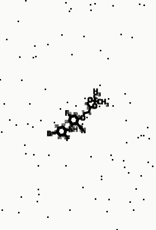 CC1(C)OCC(CCOc2cc(F)cc(Nc3ccc(Br)cc3F)c2C#N)O1